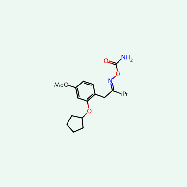 COc1ccc(CC(=NOC(N)=O)C(C)C)c(OC2CCCC2)c1